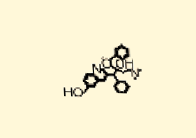 COc1nc2ccc(CO)cc2cc1C(c1ccccc1)C(O)(CCc1ccccc1)CCN(C)C